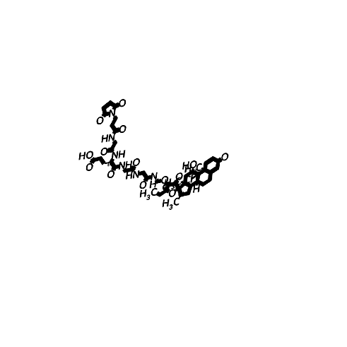 CCC(=O)O[C@]1(C(=O)COCNC(=O)CNC(=O)CNC(=O)[C@H](CCC(=O)O)NC(=O)CNC(=O)CCN2C(=O)C=CC2=O)[C@@H](C)CC2[C@@H]3CCC4=CC(=O)C=C[C@]4(C)[C@@]3(Cl)[C@@H](O)C[C@@]21C